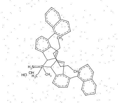 CCCC1=Cc2c(-c3cccc4ccccc34)cccc2[CH]1[Zr]([CH3])([CH3])(=[SiH2])[CH]1C(CCC)=Cc2c(-c3cccc4ccccc34)cccc21.Cl.Cl